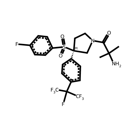 CC(C)(N)C(=O)N1CC[C@](c2ccc(C(F)(C(F)(F)F)C(F)(F)F)cc2)(S(=O)(=O)c2ccc(F)cc2)C1